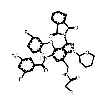 O=C(CCl)NCc1cc(NC(=O)c2cc(F)cc(C(F)(F)F)c2)c(Oc2cc(F)ccc2Cl)c2c(N3C(=O)c4ccccc4C3=O)nn(C3CCCCO3)c12